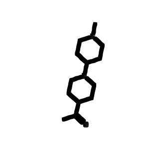 CC(=O)C1CCN(C2CCN(C)CC2)CC1